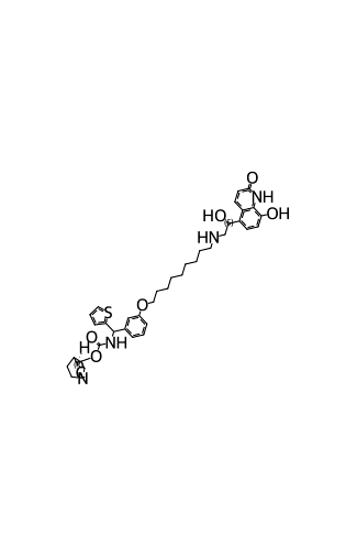 O=C(NC(c1cccc(OCCCCCCCCCNC[C@@H](O)c2ccc(O)c3[nH]c(=O)ccc23)c1)c1cccs1)O[C@H]1CN2CCC1CC2